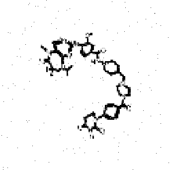 COc1cc(C(=O)NN2CCC(CN3CCN(C(=O)c4ccc(N5CCC(=O)NC5=O)cc4)CC3)CC2)ccc1Nc1ncc2c(n1)N(C(C)C)CC(F)(F)C(=O)N2C